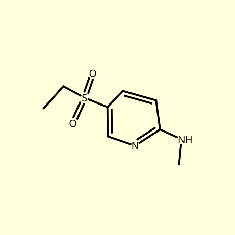 CCS(=O)(=O)c1ccc(NC)nc1